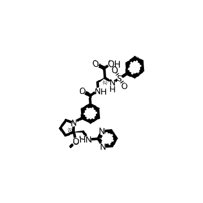 CO[C@]1(CNc2ncccn2)CCCN1c1cccc(C(=O)NC[C@H](NS(=O)(=O)c2ccccc2)C(=O)O)c1